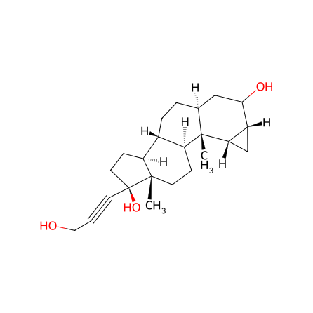 C[C@]12[C@@H](CC[C@@H]3[C@@H]1CC[C@@]1(C)[C@H]3CC[C@@]1(O)C#CCO)CC(O)[C@@H]1C[C@@H]12